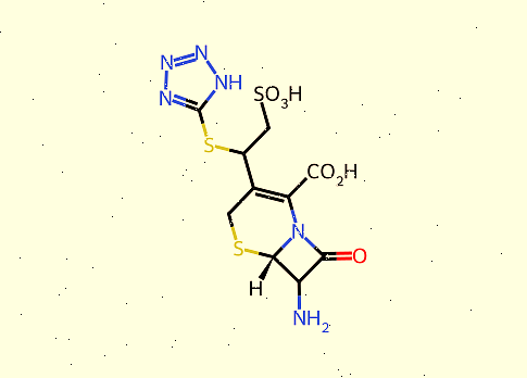 NC1C(=O)N2C(C(=O)O)=C(C(CS(=O)(=O)O)Sc3nnn[nH]3)CS[C@@H]12